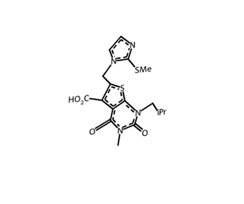 CSc1nccn1Cc1sc2c(c1C(=O)O)c(=O)n(C)c(=O)n2CC(C)C